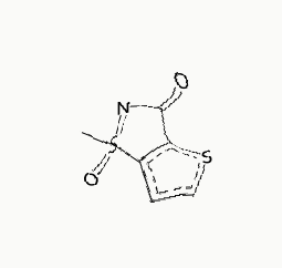 CS1(=O)=NC(=O)c2sccc21